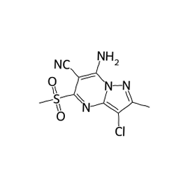 Cc1nn2c(N)c(C#N)c(S(C)(=O)=O)nc2c1Cl